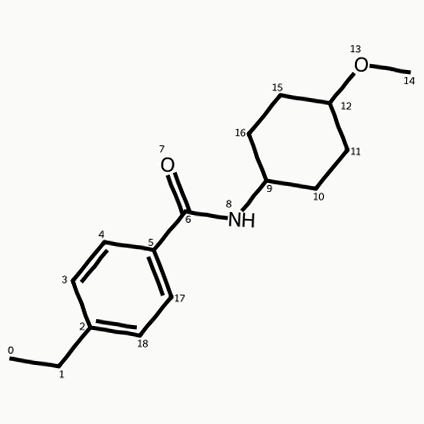 CCc1ccc(C(=O)NC2CCC(OC)CC2)cc1